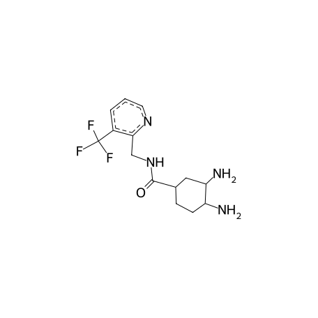 NC1CCC(C(=O)NCc2ncccc2C(F)(F)F)CC1N